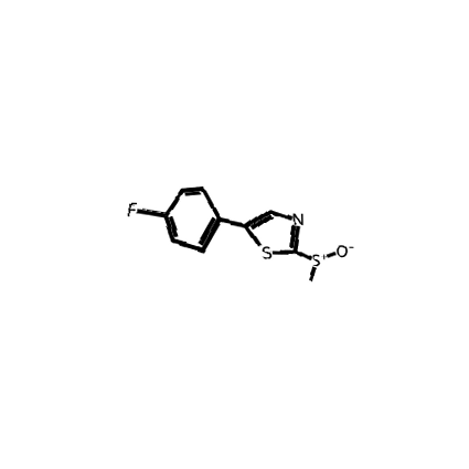 C[S+]([O-])c1ncc(-c2ccc(F)cc2)s1